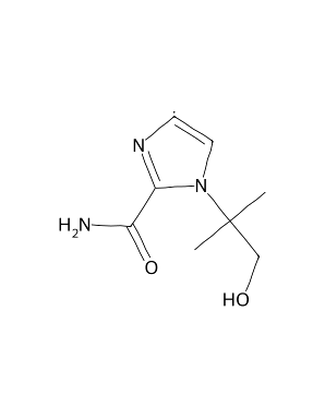 CC(C)(CO)n1c[c]nc1C(N)=O